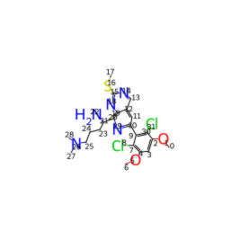 COc1cc(OC)c(Cl)c(-c2cc3cnc(SC)nc3c(C(N)CCCN(C)C)n2)c1Cl